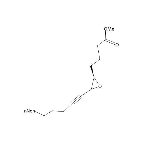 CCCCCCCCCCCCC#CC1O[C@@H]1CCCC(=O)OC